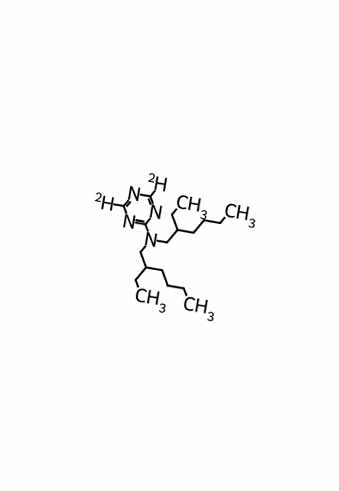 [2H]c1nc([2H])nc(N(CC(CC)CCCC)CC(CC)CCCC)n1